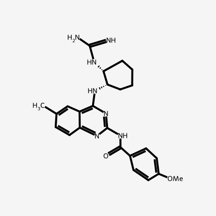 COc1ccc(C(=O)Nc2nc(N[C@H]3CCCC[C@H]3NC(=N)N)c3cc(C)ccc3n2)cc1